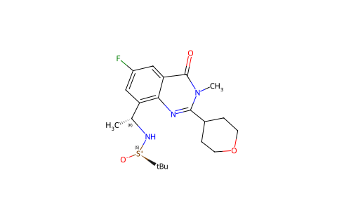 C[C@@H](N[S@+]([O-])C(C)(C)C)c1cc(F)cc2c(=O)n(C)c(C3CCOCC3)nc12